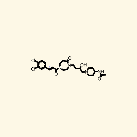 CC(=O)NC1CCN(CC(O)CCN2CCN(C(=O)/C=C/c3ccc(Cl)c(Cl)c3)CCC2=O)CC1